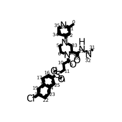 Cc1cc(N2CCN(C(=O)CCS(=O)(=O)c3ccc4cc(Cl)ccc4c3)C(C(=O)NN(C)C)C2)ccn1